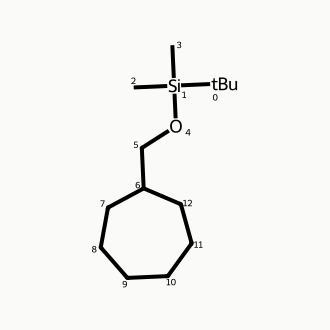 CC(C)(C)[Si](C)(C)OCC1CCCCCC1